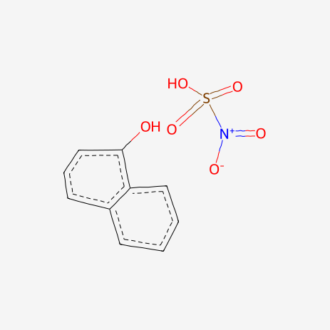 O=[N+]([O-])S(=O)(=O)O.Oc1cccc2ccccc12